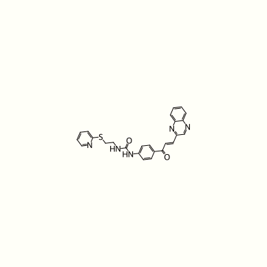 O=C(NCCSc1ccccn1)Nc1ccc(C(=O)C=Cc2cnc3ccccc3n2)cc1